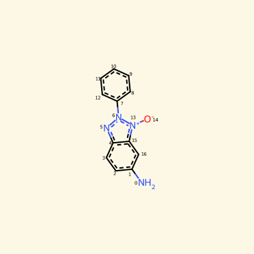 Nc1ccc2nn(-c3ccccc3)[n+]([O-])c2c1